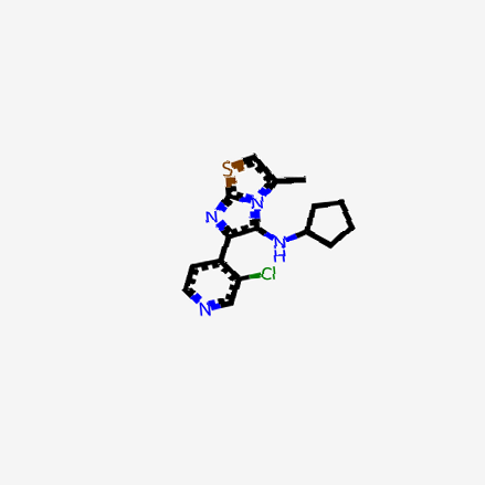 Cc1csc2nc(-c3ccncc3Cl)c(NC3CCCC3)n12